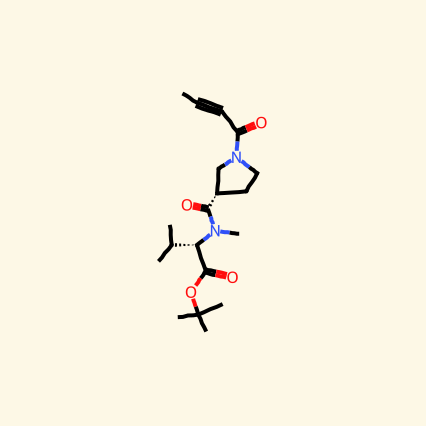 CC#CC(=O)N1CC[C@H](C(=O)N(C)[C@H](C(=O)OC(C)(C)C)C(C)C)C1